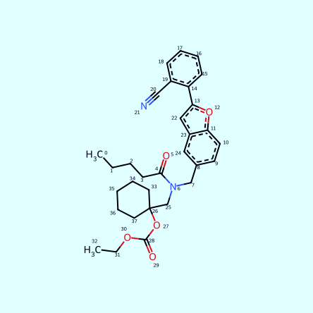 CCCCC(=O)N(Cc1ccc2oc(-c3ccccc3C#N)cc2c1)CC1(OC(=O)OCC)CCCCC1